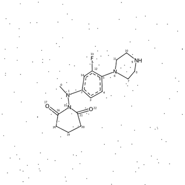 CN(c1ccc(N2CCNCC2)c(F)c1)N1C(=O)CCCC1=O